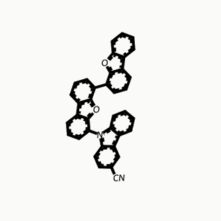 N#Cc1ccc2c(c1)c1ccccc1n2-c1cccc2c1oc1c(-c3cccc4c3oc3ccccc34)cccc12